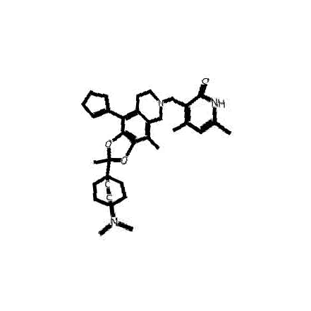 Cc1cc(C)c(CN2CCc3c(c(C)c4c(c3C3=CCCC3)OC(C)(C35CCC(N(C)C)(CC3)CC5)O4)C2)c(=O)[nH]1